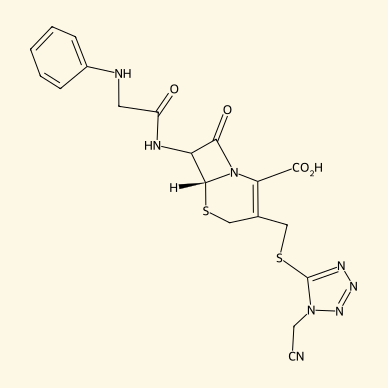 N#CCn1nnnc1SCC1=C(C(=O)O)N2C(=O)C(NC(=O)CNc3ccccc3)[C@H]2SC1